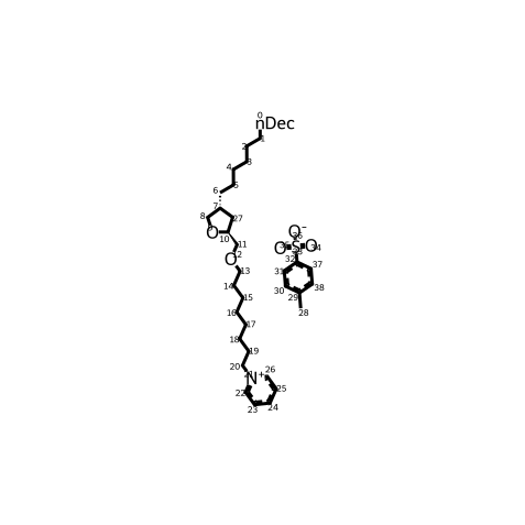 CCCCCCCCCCCCCCCC[C@H]1CO[C@H](COCCCCCCCC[n+]2ccccc2)C1.Cc1ccc(S(=O)(=O)[O-])cc1